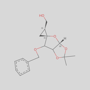 CC1(C)OC2C(OCc3ccccc3)[C@@]3(C[C@H]3CO)O[C@@H]2O1